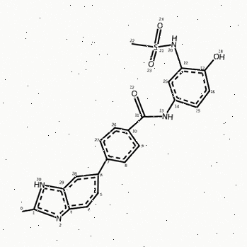 Cc1nc2ccc(-c3ccc(C(=O)Nc4ccc(O)c(NS(C)(=O)=O)c4)cc3)cc2[nH]1